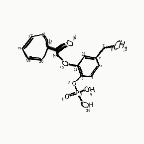 CCc1ccc(OP(=O)(O)O)c(OC(=O)c2ccccc2)c1